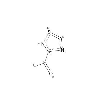 CC(=O)c1ncsn1